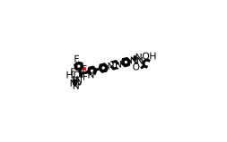 CC(C)C(C(C)O)n1ncn(-c2ccc(N3CCN(c4ccc(-c5ccc(C(F)(F)[C@](O)(Cn6cnnn6)c6ccc(F)cc6F)nc5)cc4)CC3)cc2)c1=O